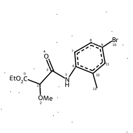 CCOC(=O)C(OC)C(=O)Nc1ccc(Br)cc1C